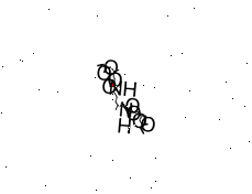 C=CC(=O)OC(C)COC(=O)NCCCC(C)CNC(=O)OCC(C)OC(=O)C=C